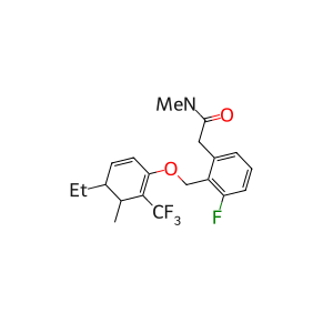 CCC1C=CC(OCc2c(F)cccc2CC(=O)NC)=C(C(F)(F)F)C1C